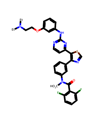 CCN(CC)CCOc1cccc(Nc2nccc(-c3scnc3-c3cccc(N(C(=O)O)C(=O)c4c(F)cccc4F)c3)n2)c1